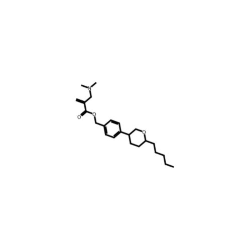 C=C(CN(C)C)C(=O)OCc1ccc(C2CCC(CCCCC)OC2)cc1